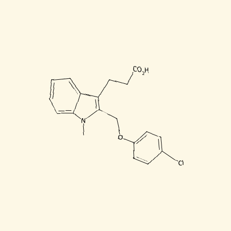 Cn1c(COc2ccc(Cl)cc2)c(CCC(=O)O)c2ccccc21